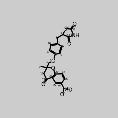 CC1(COc2ccc(CC3SC(=O)NC3=O)cc2)CC(=O)c2cc([N+](=O)[O-])ccc2O1